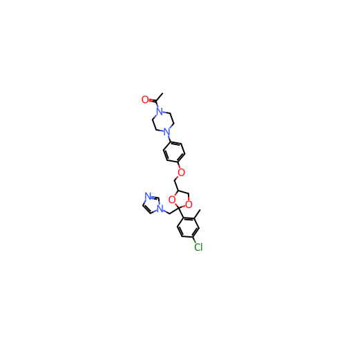 CC(=O)N1CCN(c2ccc(OCC3COC(Cn4ccnc4)(c4ccc(Cl)cc4C)O3)cc2)CC1